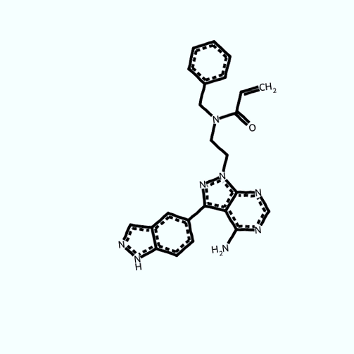 C=CC(=O)N(CCn1nc(-c2ccc3[nH]ncc3c2)c2c(N)ncnc21)Cc1ccccc1